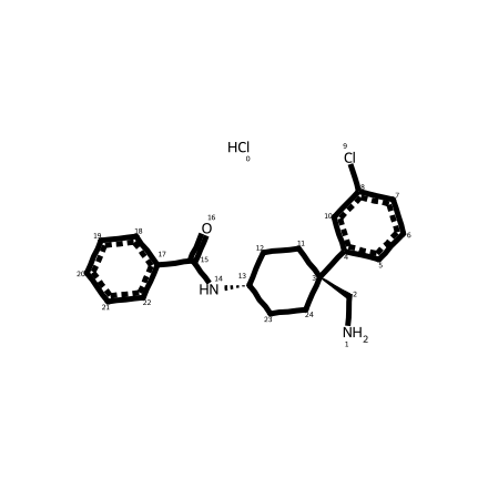 Cl.NC[C@]1(c2cccc(Cl)c2)CC[C@@H](NC(=O)c2ccccc2)CC1